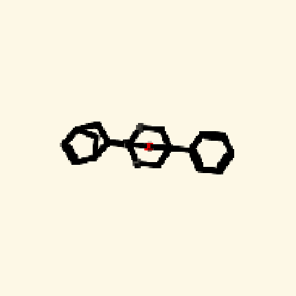 C1=CC2CC1CC2[Si]12OCC(c3ccccc3)(CO1)CO2